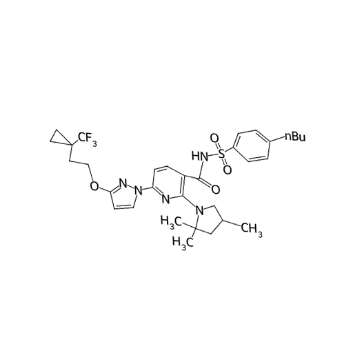 CCCCc1ccc(S(=O)(=O)NC(=O)c2ccc(-n3ccc(OCCC4(C(F)(F)F)CC4)n3)nc2N2CC(C)CC2(C)C)cc1